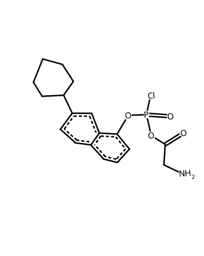 NCC(=O)OP(=O)(Cl)Oc1cccc2ccc(C3CCCCC3)cc12